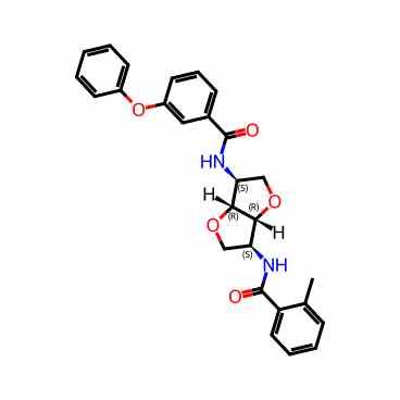 Cc1ccccc1C(=O)N[C@H]1CO[C@H]2[C@@H]1OC[C@@H]2NC(=O)c1cccc(Oc2ccccc2)c1